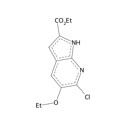 CCOC(=O)c1cc2cc(OCC)c(Cl)nc2[nH]1